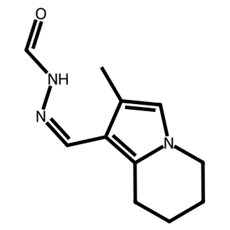 Cc1cn2c(c1/C=N\NC=O)CCCC2